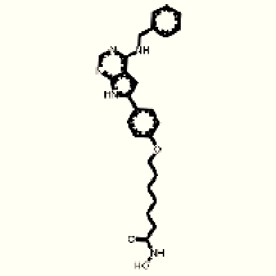 O=C(CCCCCCOc1ccc(-c2cc3c(NCc4ccccc4)ncnc3[nH]2)cc1)NO